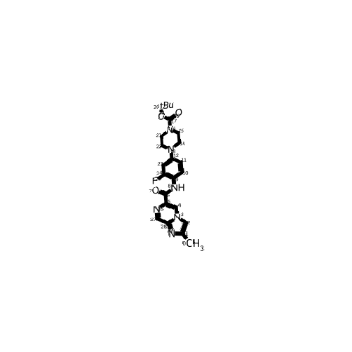 Cc1cn2cc(C(=O)Nc3ccc(N4CCN(C(=O)OC(C)(C)C)CC4)cc3F)ncc2n1